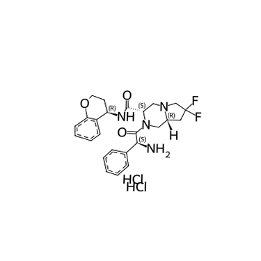 Cl.Cl.N[C@H](C(=O)N1C[C@H]2CC(F)(F)CN2C[C@H]1C(=O)N[C@@H]1CCOc2ccccc21)c1ccccc1